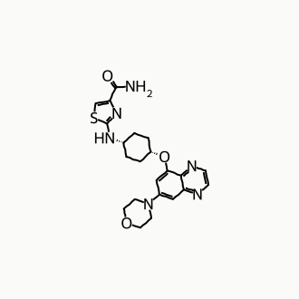 NC(=O)c1csc(N[C@H]2CC[C@@H](Oc3cc(N4CCOCC4)cc4nccnc34)CC2)n1